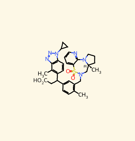 Cc1ccc(C(CC(=O)O)c2ccc3c(nnn3C3CC3)c2C)cc1CN1C[C@@]2(C)CCCN2c2ncccc2S1(=O)=O